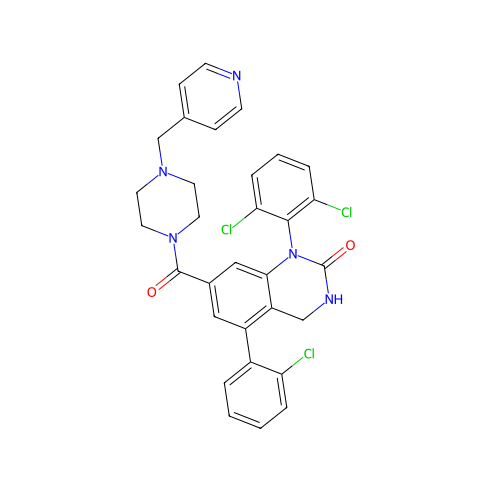 O=C(c1cc(-c2ccccc2Cl)c2c(c1)N(c1c(Cl)cccc1Cl)C(=O)NC2)N1CCN(Cc2ccncc2)CC1